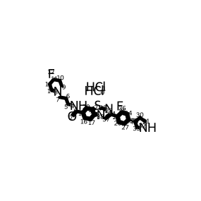 Cl.Cl.O=C(NCCCN1CCC(F)CC1)c1ccc2c(c1)sc1nc(-c3ccc([C@H]4CCNC4)cc3F)cn12